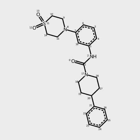 O=C(Nc1cccc(N2CCS(=O)(=O)CC2)c1)N1CCC(c2ccccc2)CC1